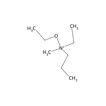 CCC[N+](C)(CC)OCC